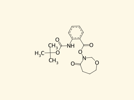 CC(C)(C)OC(=O)Nc1ccccc1C(=O)ON1COCCCC1=O